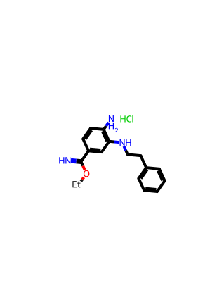 CCOC(=N)c1ccc(N)c(NCCc2ccccc2)c1.Cl